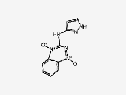 [O-][n+]1nc(Nc2cc[nH]n2)[n+]([O-])c2ccccc21